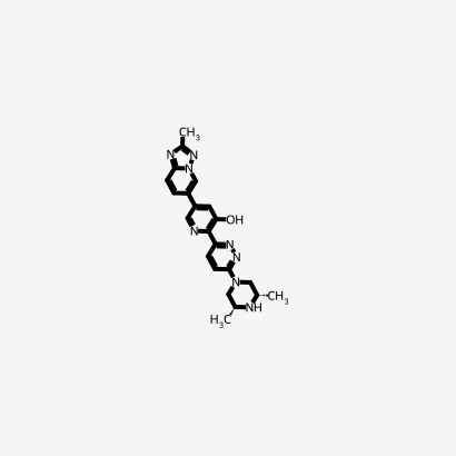 Cc1nc2ccc(-c3cnc(-c4ccc(N5C[C@@H](C)N[C@@H](C)C5)nn4)c(O)c3)cn2n1